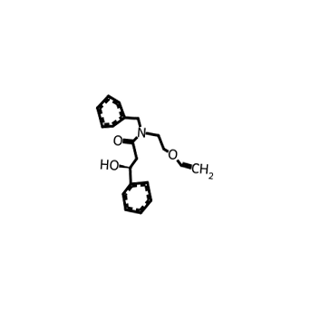 C=COCCN(Cc1ccccc1)C(=O)C[C@H](O)c1ccccc1